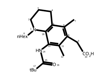 CCCCCCN1CCCc2c(C)c(CC(=O)O)c(C)c(NC(=O)C(C)(C)C)c21